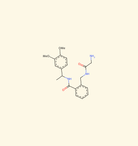 COc1ccc(C(C)NC(=O)c2ccccc2CNC(=O)CN)cc1OC